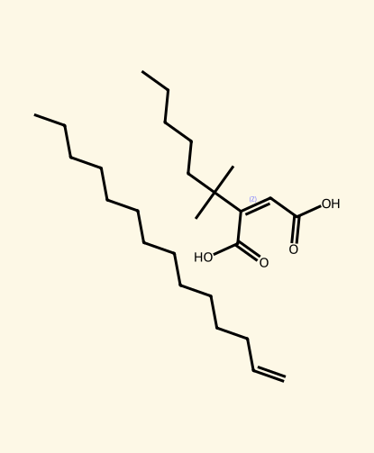 C=CCCCCCCCCCCCC.CCCCCC(C)(C)/C(=C/C(=O)O)C(=O)O